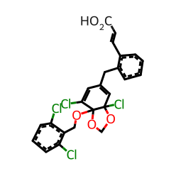 O=C(O)/C=C/c1ccccc1CC1=CC2(Cl)OCOC2(OCc2c(Cl)cccc2Cl)C(Cl)=C1